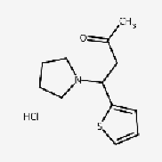 CC(=O)CC(c1cccs1)N1CCCC1.Cl